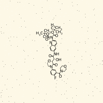 CC(C)(C)OC(=O)N(C(=O)OC(C)(C)C)c1ccc2cc(NC(=O)[C@H](O)[C@H]3OCCN(c4ccc(F)c(C(=O)N5CCOCC5)c4)C3=O)ccc2n1